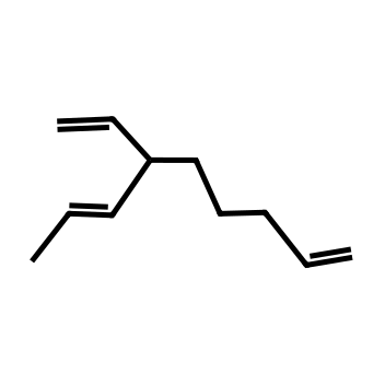 C=CCCCC(C=C)C=CC